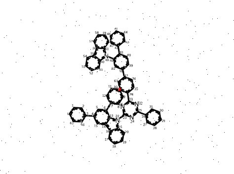 c1ccc(-c2cc(-c3ccccc3)c3c(c2)c2ccccc2n3-c2nc(-c3ccccc3)nc(-c3ccc(-c4ccc(-c5ccccc5)c(-n5c6ccccc6c6ccccc65)c4)cc3)n2)cc1